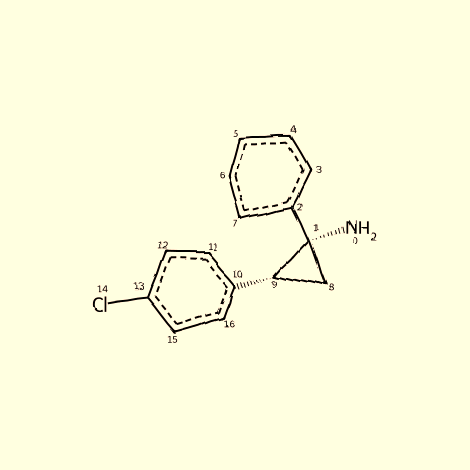 N[C@]1(c2ccccc2)C[C@@H]1c1ccc(Cl)cc1